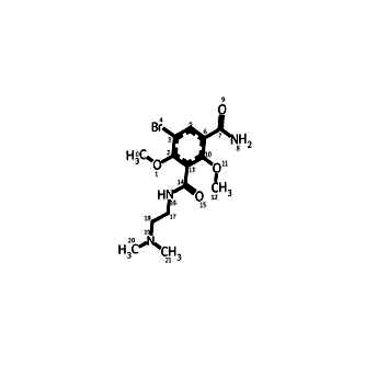 COc1c(Br)cc(C(N)=O)c(OC)c1C(=O)NCCN(C)C